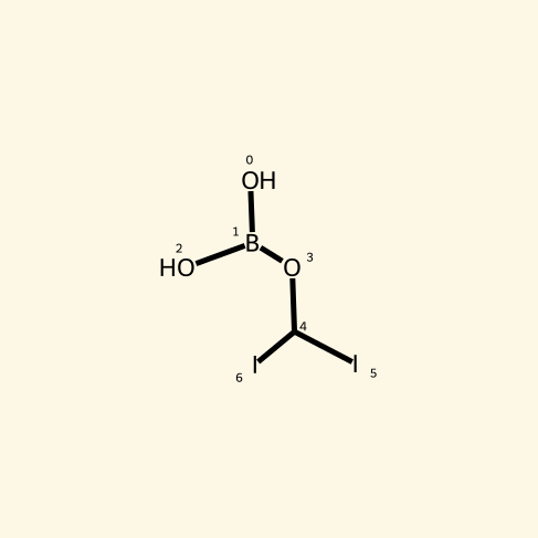 OB(O)OC(I)I